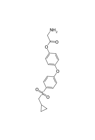 NCC(=O)Oc1ccc(Oc2ccc(S(=O)(=O)CC3CC3)cc2)cc1